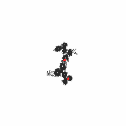 [C-]#[N+]c1ccc(N(c2ccc([Si](C)(C)c3ccc(N(c4ccc(C#N)cc4)c4ccc5c(c4)c4ccccc4n5-c4ccccc4)cn3)nc2)c2ccc3c(c2)c2ccccc2n3-c2ccccc2)cc1